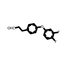 O=[C]CCc1ccc(Oc2ccc(F)c(F)c2)cc1